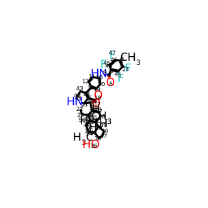 Cc1c(F)c(F)c(C(=O)Nc2ccc3c4c(c(=O)oc3c2)[C@]2(CC[C@@]3(C)[C@@H](CC[C@@H]5[C@@H]3CC[C@]3(C)[C@@H](O)CC[C@@H]53)C2)NCC4)c(F)c1F